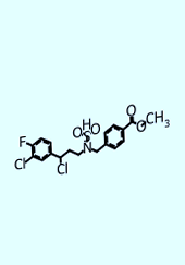 COC(=O)c1ccc(CN(CCC(Cl)c2ccc(F)c(Cl)c2)[SH](=O)=O)cc1